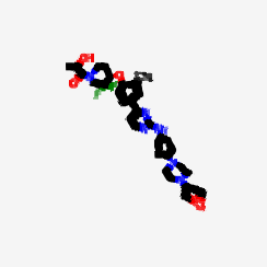 CC(O)C(=O)N1CC[C@@H](Oc2ccc(-c3ccnc(Nc4ccc(N5CCN(C6COC6)CC5)cc4)n3)cc2C#N)C(F)(F)C1